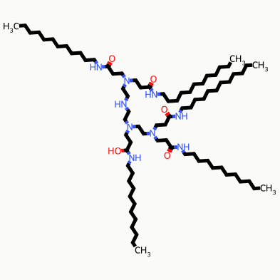 CCCCCCCCCCCCNC(=O)CCN(CCNCCN(CCC(O)NCCCCCCCCCCCC)CCN(CCC(=O)NCCCCCCCCCCCC)CCC(=O)NCCCCCCCCCCCC)CCC(=O)NCCCCCCCCCCCC